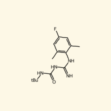 Cc1cc(F)cc(C)c1NC(=N)NC(=O)NC(C)(C)C